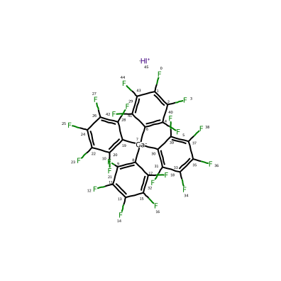 Fc1c(F)c(F)[c]([Ga-]([c]2c(F)c(F)c(F)c(F)c2F)([c]2c(F)c(F)c(F)c(F)c2F)[c]2c(F)c(F)c(F)c(F)c2F)c(F)c1F.[IH+]